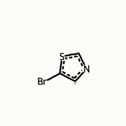 Brc1[c]ncs1